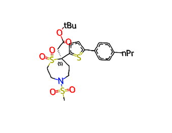 CCCc1ccc(-c2ccc([C@@]3(CC(=O)OC(C)(C)C)CCN(S(C)(=O)=O)CCS3(=O)=O)s2)cc1